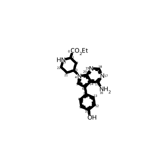 CCOC(=O)C1CC(n2cc(-c3ccc(O)cc3)c3c(N)ncnc32)CCN1